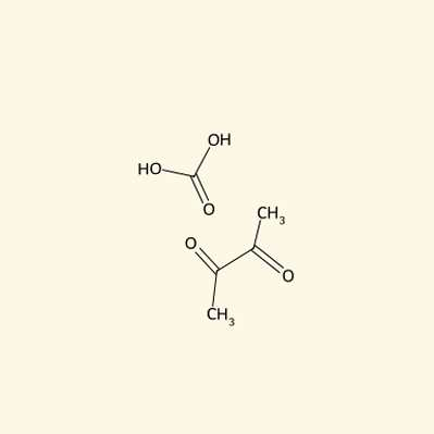 CC(=O)C(C)=O.O=C(O)O